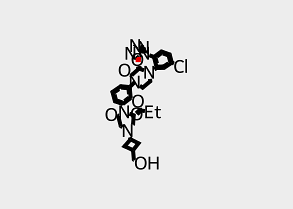 CCC(=O)Oc1c(N2CCN(C3CC(CO)C3)CC2=O)cccc1N1CCN(c2cc(Cl)ccc2-n2cnnn2)C(=O)C1=O